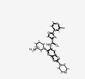 Cc1cc(-c2nc(C(=O)Nc3cc4oc(N5CCOCC5)nc4nc3N3CCC[C@H](N)C3)co2)ccn1